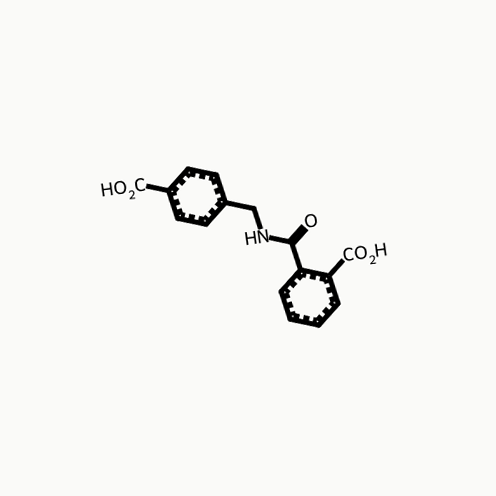 O=C(O)c1ccc(CNC(=O)c2ccccc2C(=O)O)cc1